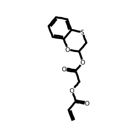 C=CC(=O)OCC(=O)OC1CSc2ccccc2O1